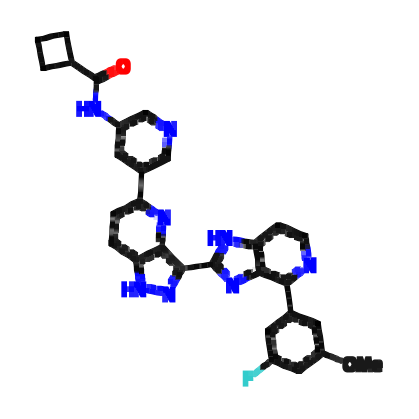 COc1cc(F)cc(-c2nccc3[nH]c(-c4n[nH]c5ccc(-c6cncc(NC(=O)C7CCC7)c6)nc45)nc23)c1